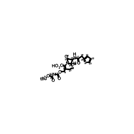 CC(C)(C)OC(=O)NC(=O)OCC1=C(C(=O)O)N2C(=O)C(NC(=O)Cc3cccs3)[C@@H]2SC1